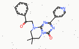 CC1(C)CN(CC(=O)c2ccccc2)c2nc(-c3ccncc3)nc(=O)n2C1